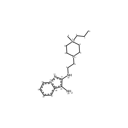 CCC[N+]1(C)CCN(CCNc2nn3ccccc3c2N)CC1